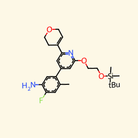 Cc1cc(F)c(N)cc1-c1cc(OCCO[Si](C)(C)C(C)(C)C)nc(C2=CCOCC2)c1